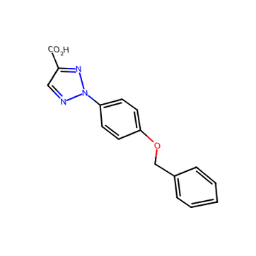 O=C(O)c1cnn(-c2ccc(OCc3ccccc3)cc2)n1